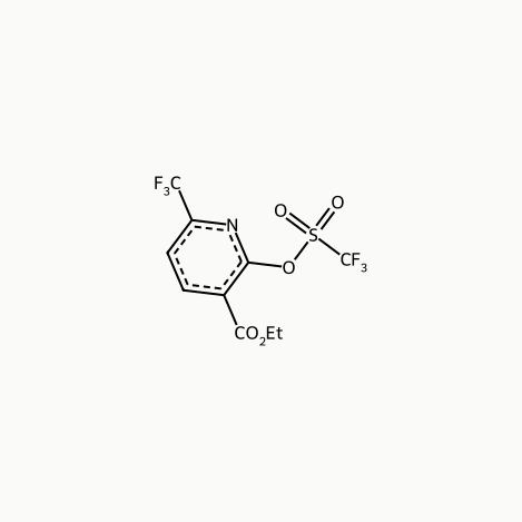 CCOC(=O)c1ccc(C(F)(F)F)nc1OS(=O)(=O)C(F)(F)F